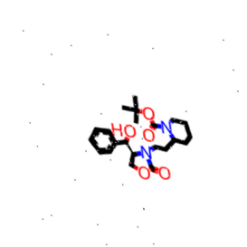 CC(C)(C)OC(=O)N1CCCCC1CCN1C(=O)OC[C@H]1C(O)c1ccccc1